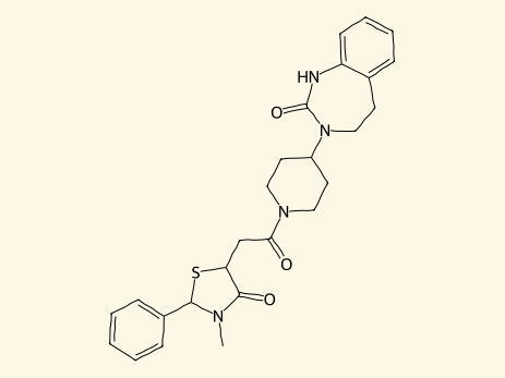 CN1C(=O)C(CC(=O)N2CCC(N3CCc4ccccc4NC3=O)CC2)SC1c1ccccc1